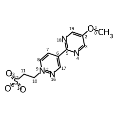 COc1cnc(-c2cc[n+](CCS(=O)(=O)[O-])nc2)nc1